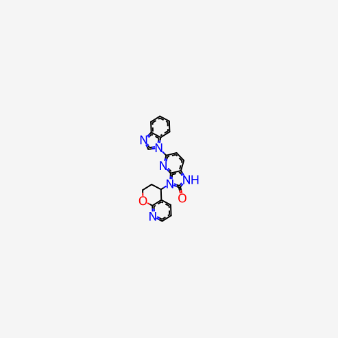 O=c1[nH]c2ccc(-n3cnc4ccccc43)nc2n1C1CCOc2ncccc21